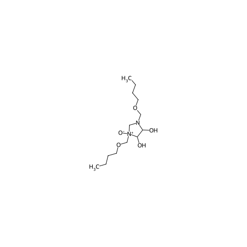 CCCCOCN1C[N+]([O-])(COCCCC)C(O)C1O